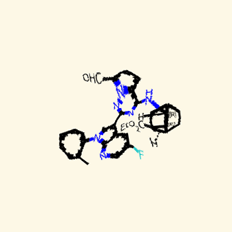 CCOC(=O)[C@@H]1C2CCC(CC2)[C@H]1Nc1nc(-c2cn(-c3ccccc3C)c3ncc(F)cc23)nn2c(C=O)ccc12